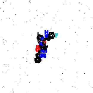 C[C@H]1C[C@@H](CNC(=O)[C@@H](NC(=O)c2cc3ccccc3[nH]2)C(C)(C)C)N(C(=O)c2cc3cc(F)ccc3[nH]2)C1